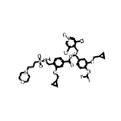 O=C(O[C@@H](Cc1c(Cl)c[n+]([O-])cc1Cl)c1ccc(OC(F)F)c(OCC2CC2)c1)c1ccc(CNS(=O)(=O)CCCN2CCOCC2)c(OCC2CC2)c1